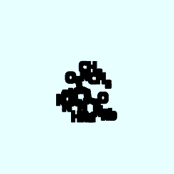 CN(C)C(=O)c1cc(C(=O)[N]([Rb])[RaH])nc2nncn12